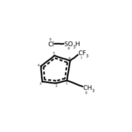 Cc1ccccc1C(F)(F)F.O=S(=O)(O)Cl